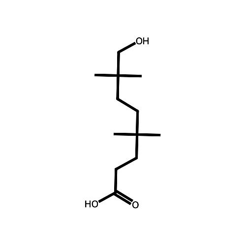 CC(C)(CO)CCC(C)(C)CCC(=O)O